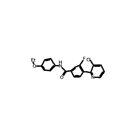 CCOc1ccc(NC(=O)c2ccc(-c3ncccc3Cl)c(F)c2)cc1